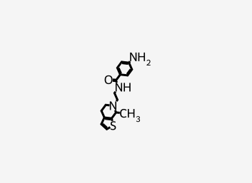 CC1c2sccc2CCN1CCNC(=O)c1ccc(N)cc1